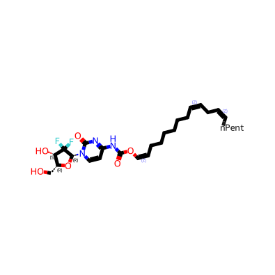 CCCCC/C=C\C/C=C\CCCCCC/C=C\OC(=O)Nc1ccn([C@@H]2O[C@H](CO)[C@H](O)C2(F)F)c(=O)n1